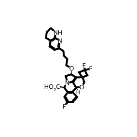 O=C(O)[C@@H]1c2cc(F)ccc2[C@@H]2OCC3(CC(F)(F)C3)C3=C2N1C[C@@H]3OCCCCc1ccc2c(n1)NCCC2